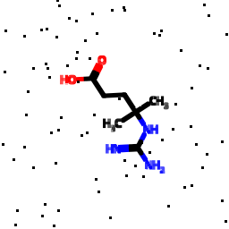 CC(C)(CCC(=O)O)NC(=N)N